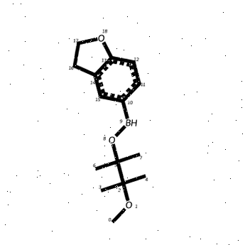 COC(C)(C)C(C)(C)OBc1ccc2c(c1)CCO2